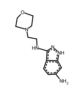 Nc1ccc2c(NCCN3CCOCC3)n[nH]c2c1